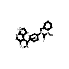 CC(C)(C)OC(=O)N(Cc1ccccc1)C12CCC(/C(=N/I)c3c(Cl)cnc4[nH]ccc34)(CC1)CC2